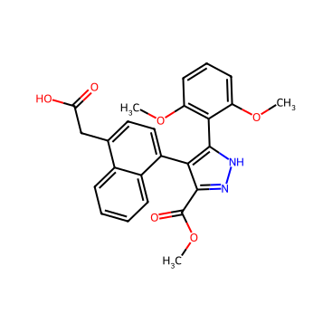 COC(=O)c1n[nH]c(-c2c(OC)cccc2OC)c1-c1ccc(CC(=O)O)c2ccccc12